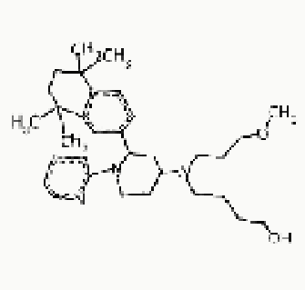 COCCCN(CCCCO)C1CCN(c2ccccn2)C(c2ccc3c(c2)C(C)(C)CCC3(C)C)C1